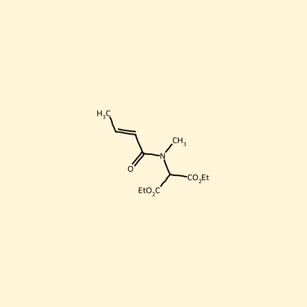 CC=CC(=O)N(C)C(C(=O)OCC)C(=O)OCC